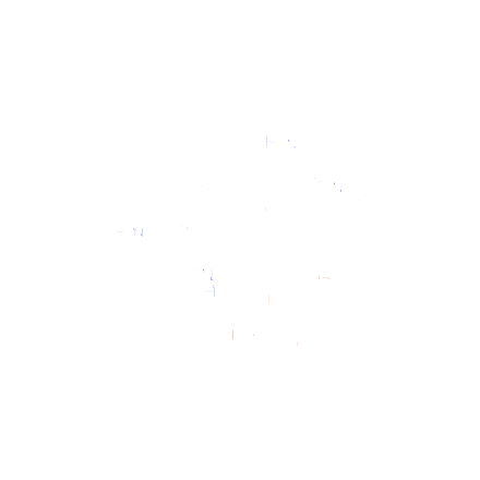 NC(=O)NCP(=O)(O)O.NC(N)=O